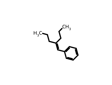 CCCC(=Cc1ccccc1)CCC